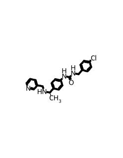 C[C@H](NCc1cccnc1)c1ccc(NC(=O)NCc2ccc(Cl)cc2)cc1